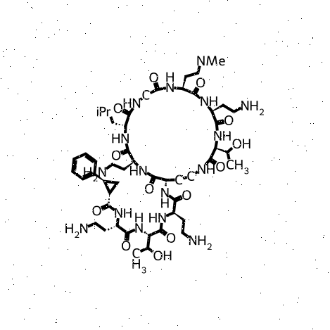 CNCC[C@@H]1NC(=O)CNC(=O)[C@@H](CC(C)C)NC(=O)[C@H](CCN)NC(=O)[C@@H](NC(=O)[C@@H](CCN)NC(=O)[C@@H](NC(=O)[C@H](CCN)NC(=O)[C@H]2C[C@@H]2c2ccccc2)C(C)O)CCNC(=O)[C@H](C(C)O)NC(=O)[C@H](CCN)NC1=O